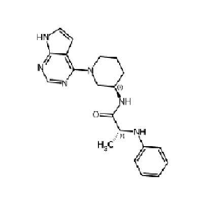 C[C@@H](Nc1ccccc1)C(=O)N[C@@H]1CCCN(c2ncnc3[nH]ccc23)C1